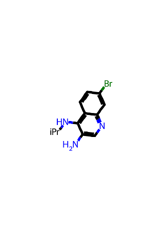 CC(C)Nc1c(N)cnc2cc(Br)ccc12